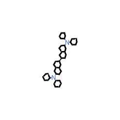 c1ccc(N(c2ccccc2)c2ccc3cc(-c4ccc5cc(N(c6ccccc6)c6ccccc6)ccc5c4)ccc3c2)cc1